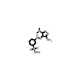 CNS(=O)(=O)c1cccc(N/N=C2/C(N)=NN=C2N(C)C)c1